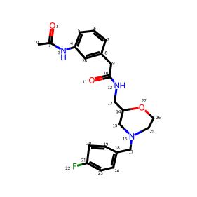 CC(=O)Nc1cccc(CC(=O)NCC2CN(Cc3ccc(F)cc3)CCO2)c1